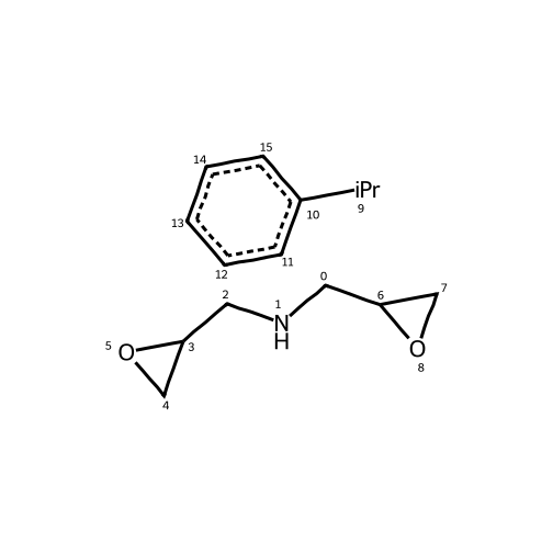 C(NCC1CO1)C1CO1.CC(C)c1ccccc1